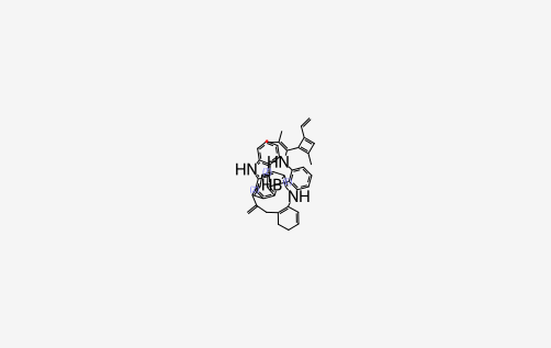 C=CC1=CC(C)=C1C(Nc1ccccc1-c1c2c(cc3[nH]c4ccccc4c13)\C1=C/C=C\C(=C\NC3=C(CCC=C3)CC1=C)B2)=C(C)C